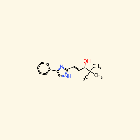 CC(C)(C)C(O)C=Cc1nc(-c2ccccc2)c[nH]1